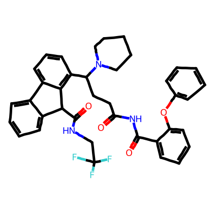 O=C(CCC(c1cccc2c1C(C(=O)NCC(F)(F)F)c1ccccc1-2)N1CCCCC1)NC(=O)c1ccccc1Oc1ccccc1